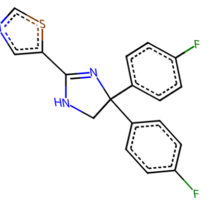 Fc1ccc(C2(c3ccc(F)cc3)CNC(c3cncs3)=N2)cc1